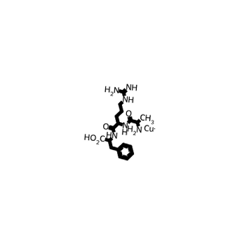 CC(N)C(=O)NC(CCCNC(=N)N)C(=O)NC(Cc1ccccc1)C(=O)O.[Cu]